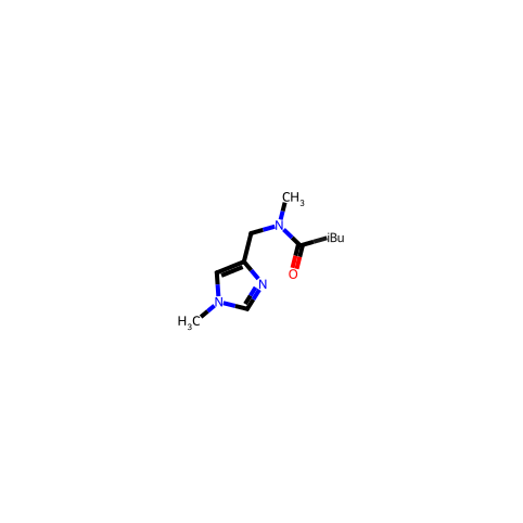 CCC(C)C(=O)N(C)Cc1cn(C)cn1